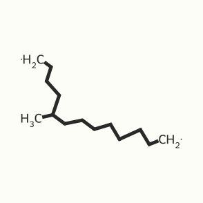 [CH2]CCCCCCCC(C)CCC[CH2]